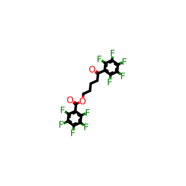 O=C(CCCCOC(=O)c1c(F)c(F)c(F)c(F)c1F)c1c(F)c(F)c(F)c(F)c1F